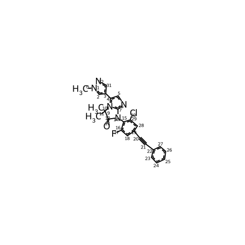 Cn1cc(-c2cnc3n2C(C)(C)C(=O)N3c2c(F)cc(C#Cc3ccccc3)cc2Cl)cn1